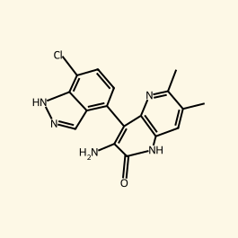 Cc1cc2[nH]c(=O)c(N)c(-c3ccc(Cl)c4[nH]ncc34)c2nc1C